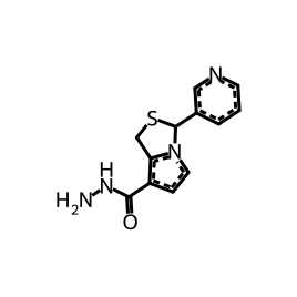 NNC(=O)c1ccn2c1CSC2c1cccnc1